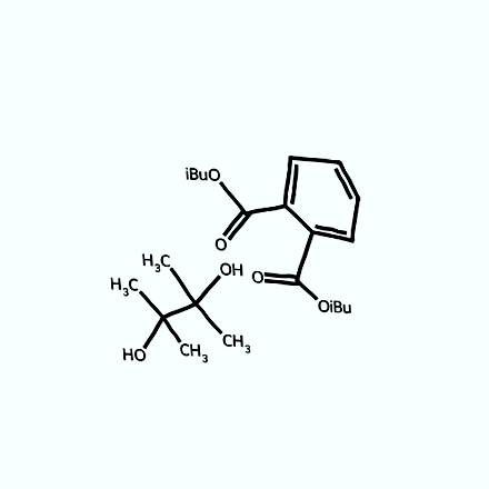 CC(C)(O)C(C)(C)O.CC(C)COC(=O)c1ccccc1C(=O)OCC(C)C